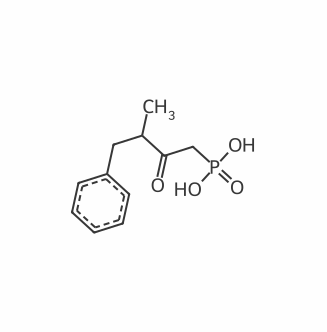 CC(Cc1ccccc1)C(=O)CP(=O)(O)O